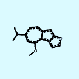 COc1cc(C(C)C)ccc2cc3sccc3c1-2